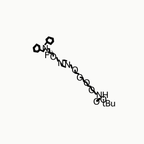 CC(C)(C)OC(=O)NCCOCCOCCOCCOCCN1CCN(CCOC[C@@H](F)CN(Cc2ccccc2)Cc2ccccc2)CC1